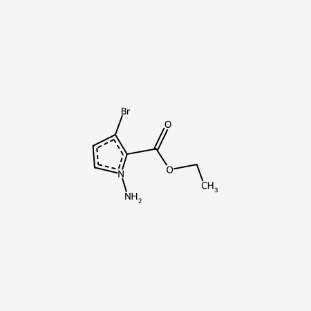 CCOC(=O)c1c(Br)ccn1N